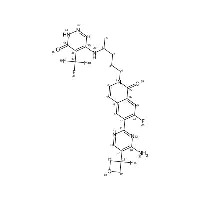 CC(CCCn1ccc2cc(-c3ncc(C4(F)COC4)c(N)n3)c(F)cc2c1=O)Nc1cn[nH]c(=O)c1C(F)(F)F